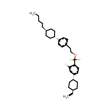 C=C[C@H]1CC[C@H](c2ccc(C(F)(F)OCCc3ccc([C@H]4CC[C@H](CCCCC)CC4)cc3)c(F)c2)CC1